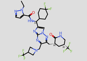 CCn1nccc1C(=O)N[C@H](c1cn2nc(C[C@H]3C[C@@H](C(F)(F)F)CNC3=O)c(CN3CC(C(F)(F)F)C3)nc2n1)C1CCC(F)(F)CC1